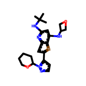 CC(C)(C)Nc1cc(NC2COC2)c2sc(-c3ccnn3C3CCCCO3)cc2n1